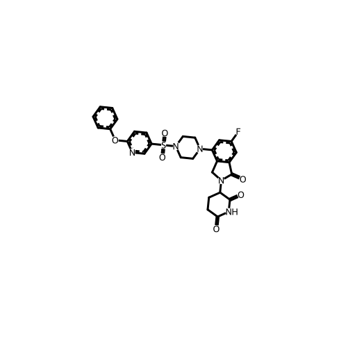 O=C1CCC(N2Cc3c(cc(F)cc3N3CCN(S(=O)(=O)c4ccc(Oc5ccccc5)nc4)CC3)C2=O)C(=O)N1